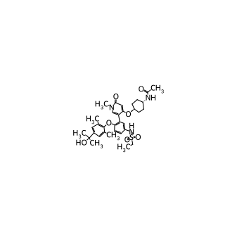 CCS(=O)(=O)Nc1ccc(Oc2c(C)cc(C(C)(C)O)cc2C)c(-c2cn(C)c(=O)cc2O[C@H]2CC[C@H](NC(C)=O)CC2)c1